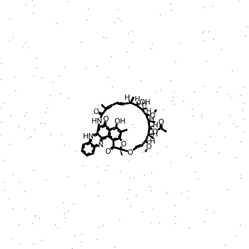 CO[C@H]1[C@@H](C)[C@H](OC(C)=O)[C@H](C)[C@@H](OC)/C=C/O[C@@]2(C)Oc3c(C)c(O)c4c(=O)c(c5[nH]c6ccccc6nc-5c4c3C2=O)NC(=O)/C(C)=C\C=C\[C@H](C)[C@H](O)[C@H]1C